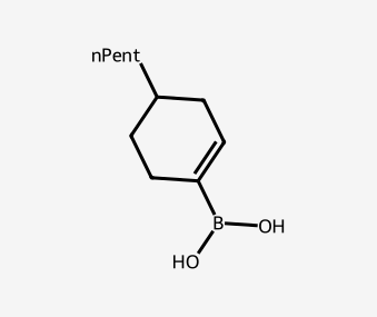 CCCCCC1CC=C(B(O)O)CC1